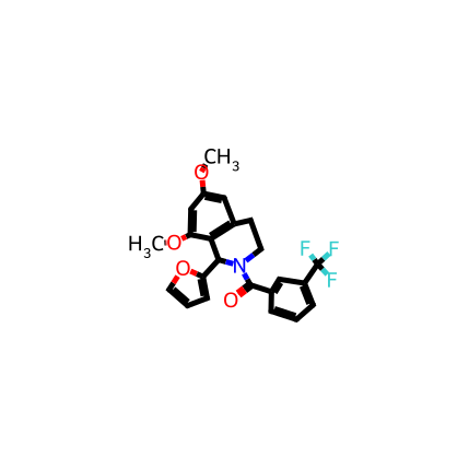 COc1cc2c(c(OC)c1)C(c1ccco1)N(C(=O)c1cccc(C(F)(F)F)c1)CC2